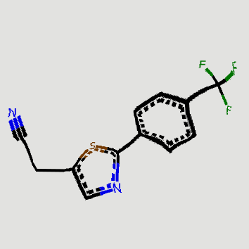 N#CCc1cnc(-c2ccc(C(F)(F)F)cc2)s1